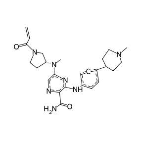 C=CC(=O)N1CC[C@@H](N(C)c2cnc(C(N)=O)c(Nc3ccc(C4CCN(C)CC4)cc3)n2)C1